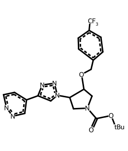 CC(C)(C)OC(=O)N1CC(OCc2ccc(C(F)(F)F)cc2)C(n2cc(-c3ccnnc3)nn2)C1